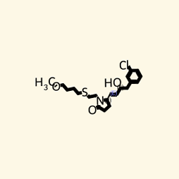 COCCCCSCCN1C(=O)CC[C@@H]1/C=C/[C@@H](O)Cc1cccc(Cl)c1